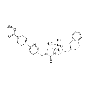 CC(C)(C)OC(=O)N1CC=C(c2ccc(CN3CCN(C[C@@H](CN4CCc5ccccc5C4)O[Si](C)(C)C(C)(C)C)C3=O)cn2)CC1